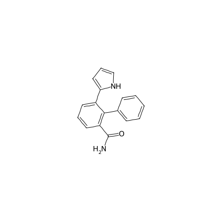 NC(=O)c1cccc(-c2ccc[nH]2)c1-c1ccccc1